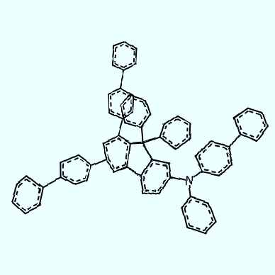 c1ccc(-c2ccc(-c3cc(-c4ccc(-c5ccccc5)cc4)c4c(c3)-c3ccc(N(c5ccccc5)c5ccc(-c6ccccc6)cc5)cc3C4(c3ccccc3)c3ccccc3)cc2)cc1